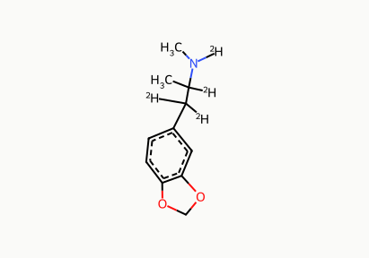 [2H]N(C)C([2H])(C)C([2H])([2H])c1ccc2c(c1)OCO2